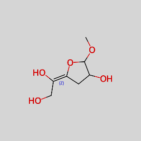 COC1O/C(=C(\O)CO)CC1O